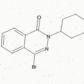 O=c1c2ccccc2c(Br)nn1C1CCCCC1